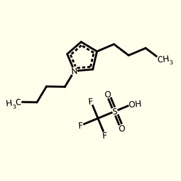 CCCCc1ccn(CCCC)c1.O=S(=O)(O)C(F)(F)F